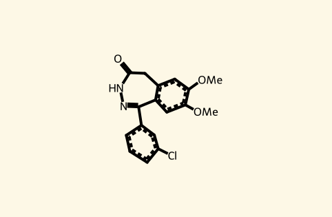 COc1cc2c(cc1OC)C(c1cccc(Cl)c1)=NNC(=O)C2